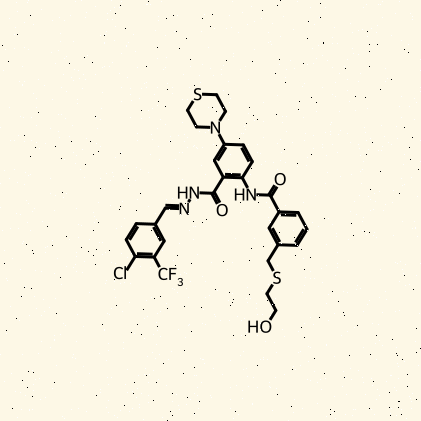 O=C(Nc1ccc(N2CCSCC2)cc1C(=O)NN=Cc1ccc(Cl)c(C(F)(F)F)c1)c1cccc(CSCCO)c1